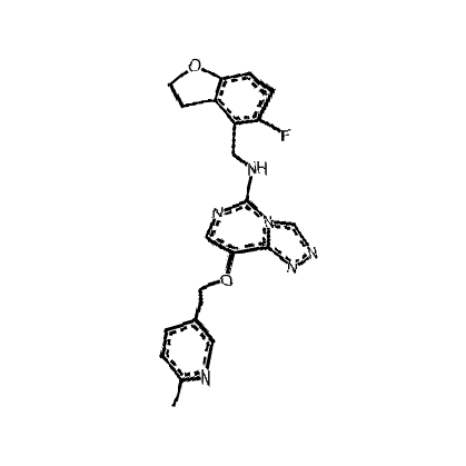 Cc1ccc(COc2cnc(NCc3c(F)ccc4c3CCO4)n3cnnc23)cn1